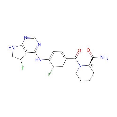 NC(=O)[C@H]1CCCCN1C(=O)C1=CC=C(Nc2ncnc3c2C(F)CN3)C(F)C1